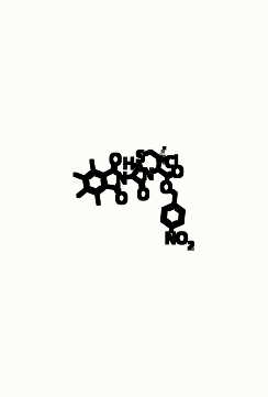 Cc1c(C)c(C)c2c(c1C)C(=O)N(C1C(=O)N3C(C(=O)OCc4ccc([N+](=O)[O-])cc4)[C@](C)(Cl)CS[C@@H]13)C2=O